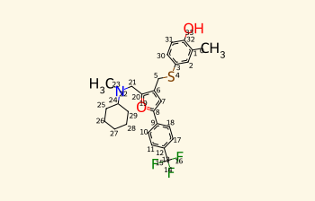 Cc1cc(SCc2cc(-c3ccc(C(F)(F)F)cc3)oc2CN(C)C2CCCCC2)ccc1O